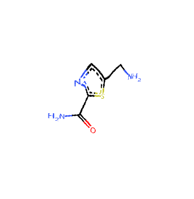 NCc1cnc(C(N)=O)s1